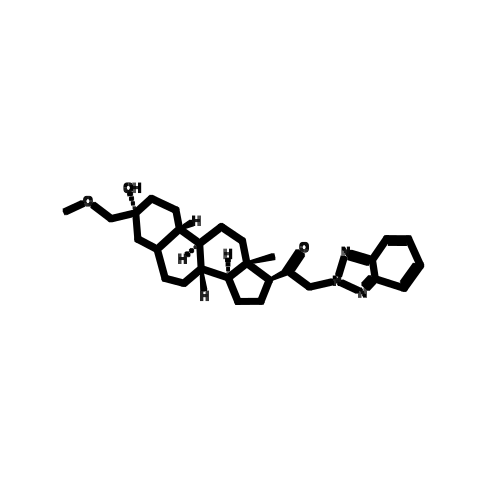 COC[C@@]1(O)CC[C@H]2C(CC[C@@H]3[C@@H]2CC[C@]2(C)[C@@H](C(=O)Cn4nc5ccccc5n4)CC[C@@H]32)C1